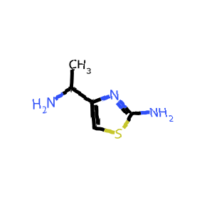 C[C](N)c1csc(N)n1